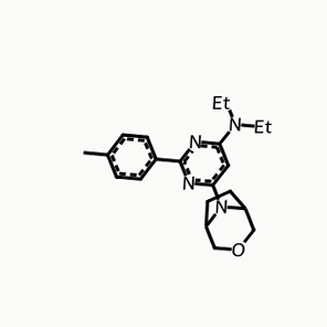 CCN(CC)c1cc(N2C3CCC2COC3)nc(-c2ccc(C)cc2)n1